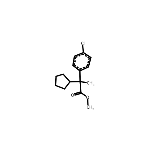 COC(=O)C(C)(c1ccc(Cl)cc1)C1CCCC1